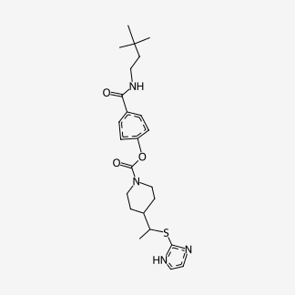 CC(Sc1ncc[nH]1)C1CCN(C(=O)Oc2ccc(C(=O)NCCC(C)(C)C)cc2)CC1